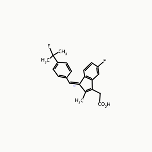 CC1=C(CC(=O)O)c2cc(F)ccc2/C1=C\c1ccc(C(C)(C)F)cc1